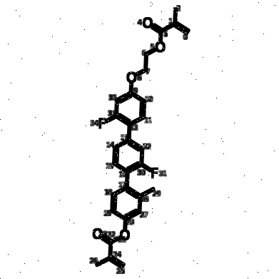 C=C(C)C(=O)OCCOc1ccc(-c2ccc(-c3ccc(OC(=O)C(=C)C)cc3C)c(F)c2)c(F)c1